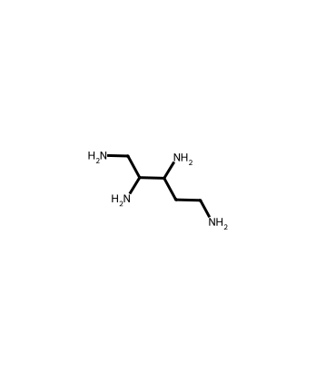 NCCC(N)C(N)CN